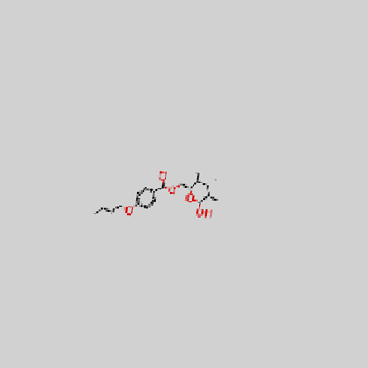 CCCCOc1ccc(C(=O)OCC2O[C@H](O)C(C)[C@@H](C)[C@@H]2C)cc1